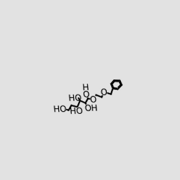 OCCC(O)C(O)C(O)C(O)OCCOCc1ccccc1